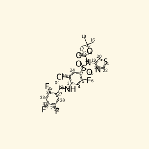 C[C@H](Nc1cc(F)c(S(=O)(=O)N(C(=O)OC(C)(C)C)c2cscn2)cc1Cl)c1cc(F)c(F)cc1F